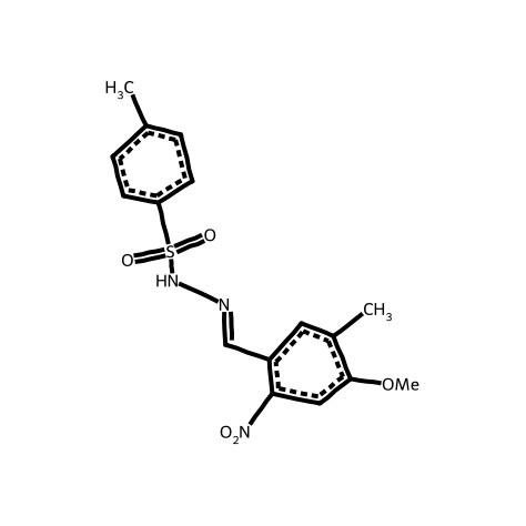 COc1cc([N+](=O)[O-])c(/C=N/NS(=O)(=O)c2ccc(C)cc2)cc1C